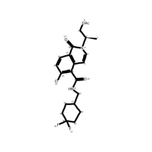 CC(=O)OC[C@@H](C)n1ccc2c(C(=O)NCC3CCC(F)(F)CC3)c(Cl)ccc2c1=O